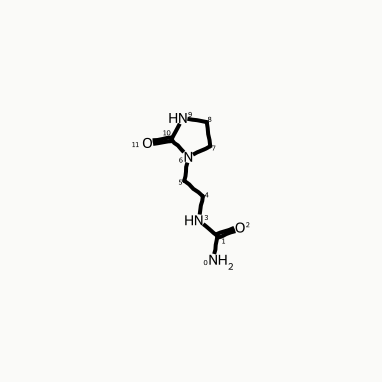 NC(=O)NCCN1CCNC1=O